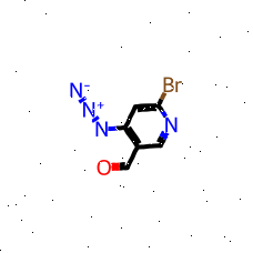 [N-]=[N+]=Nc1cc(Br)ncc1C=O